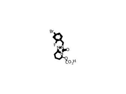 O=C(O)O[C@H]1CCCc2nn(Cc3ccc(Br)cc3F)c(=O)n21